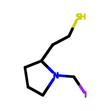 SCCC1CCCN1CI